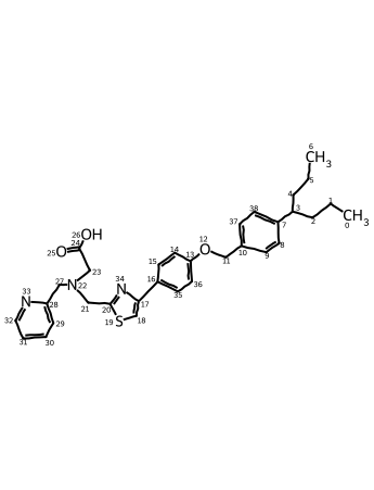 CCCC(CCC)c1ccc(COc2ccc(-c3csc(CN(CC(=O)O)Cc4ccccn4)n3)cc2)cc1